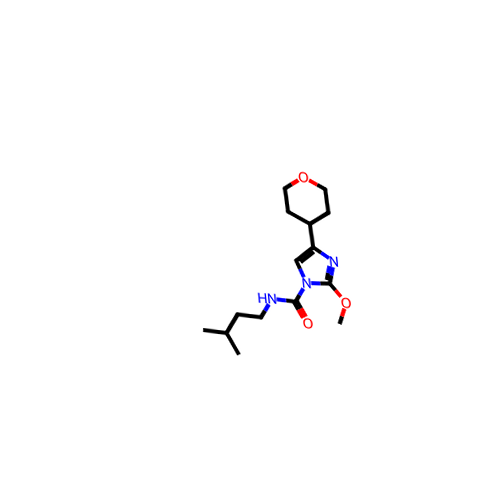 COc1nc(C2CCOCC2)cn1C(=O)NCCC(C)C